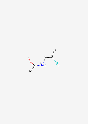 CC(=O)NCC(C)F